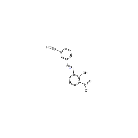 C#Cc1cccc(/N=C/c2cccc([N+](=O)[O-])c2O)c1